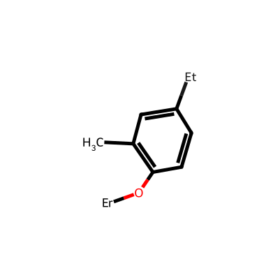 CCc1ccc([O][Er])c(C)c1